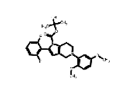 COc1ccc(OC)c(N2CCc3c(cc(-c4c(F)cccc4F)n3C(=O)OC(C)(C)C)C2)c1